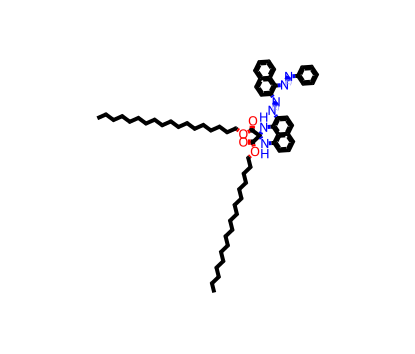 CCCCCCCCCCCCCCCCCCOC(=O)C1(C(=O)OCCCCCCCCCCCCCCCCCC)Nc2cccc3ccc(/N=N/c4ccc5ccccc5c4/N=N/c4ccccc4)c(c23)N1